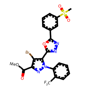 COC(=O)c1nn(-c2ccccc2C(F)(F)F)c(-c2nnc(-c3cccc(S(C)(=O)=O)c3)o2)c1Br